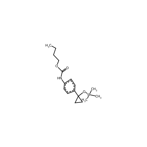 CCCCOC(=O)Nc1ccc(C2(O[Si](C)(C)C)CC2)cc1